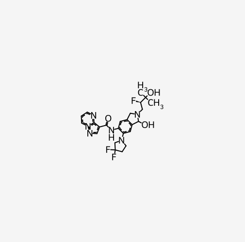 CC(C)(O)[C@H](F)CN1Cc2cc(NC(=O)c3cnn4cccnc34)c(N3CCC(F)(F)C3)cc2C1O